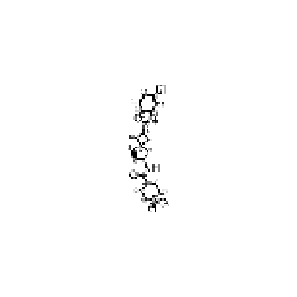 O=C(N[C@H]1C#C[C@]2(C1)C[C@H](c1nc3cc(Cl)ccc3o1)C2)C1CCS(=O)(=O)CC1